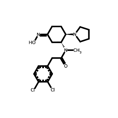 CN(C(=O)Cc1ccc(Cl)c(Cl)c1)[C@@H]1CC(=NO)CC[C@H]1N1CCCC1